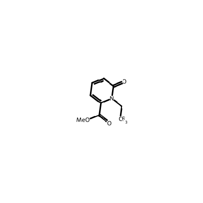 COC(=O)c1cccc(=O)n1CC(F)(F)F